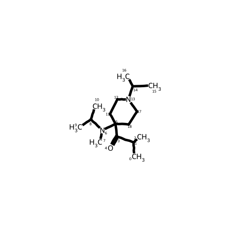 CC(C)C(=O)C1(N(C)C(C)C)CCN(C(C)C)CC1